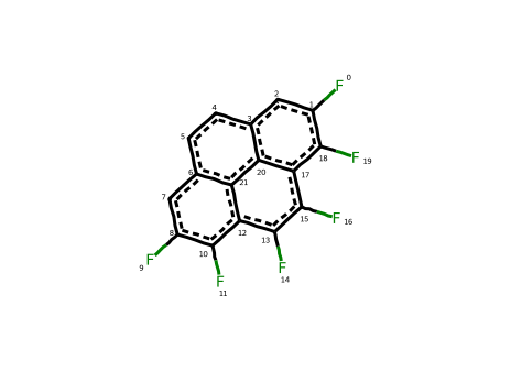 Fc1[c]c2ccc3cc(F)c(F)c4c(F)c(F)c(c1F)c2c34